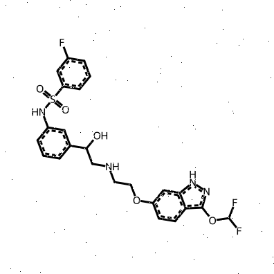 O=S(=O)(Nc1cccc(C(O)CNCCOc2ccc3c(OC(F)F)n[nH]c3c2)c1)c1cccc(F)c1